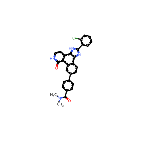 CN(C)C(=O)c1ccc(-c2ccc3c(c2)c2c(=O)[nH]ccc2c2[nH]c(-c4ccccc4Cl)nc32)cc1